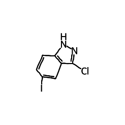 Clc1n[nH]c2ccc(I)cc12